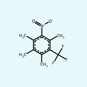 Cc1c(C)c([N+](=O)[O-])c(C)c(C(F)(F)F)c1C